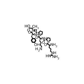 C[C@H](NC(=O)[C@H](Cc1ccc(O)cc1)NC(=O)[C@@H]1CCCN1C(=O)[C@H](CCCCN)NC(=O)[C@@H]1CCCN1C(=O)[C@@H](N)CCCNC(=N)N)C(=O)O